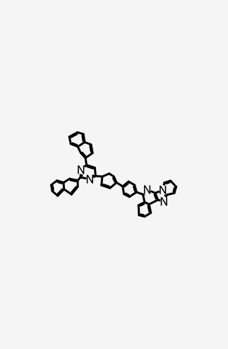 C1=CC(c2cc(-c3ccc4ccccc4c3)nc(-c3ccc4ccccc4c3)n2)CC=C1c1ccc(-c2nc3c(nc4ccccn43)c3ccccc23)cc1